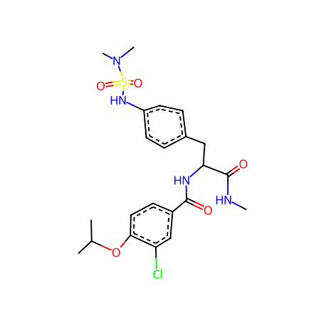 CNC(=O)C(Cc1ccc(NS(=O)(=O)N(C)C)cc1)NC(=O)c1ccc(OC(C)C)c(Cl)c1